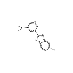 Fc1ccn2nc(-c3cncc(C4CC4)c3)nc2c1